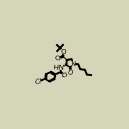 CCCCCN1C[C@H](C(=O)OC(C)(C)C)[C@H](NC(=O)c2ccc(Cl)cc2)C1=O